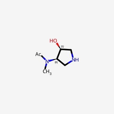 CC(=O)N(C)[C@@H]1CNC[C@@H]1O